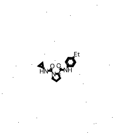 [CH2]Cc1ccc(NC(=O)[C@H]2CCCN2C(=O)NC2CC2)cc1